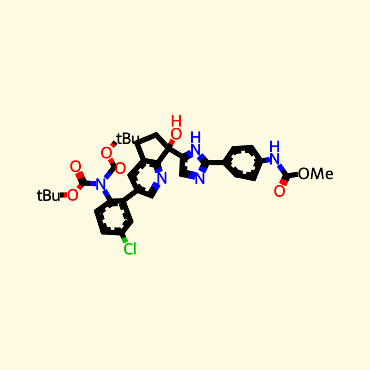 COC(=O)Nc1ccc(-c2ncc(C3(O)CCc4cc(-c5cc(Cl)ccc5N(C(=O)OC(C)(C)C)C(=O)OC(C)(C)C)cnc43)[nH]2)cc1